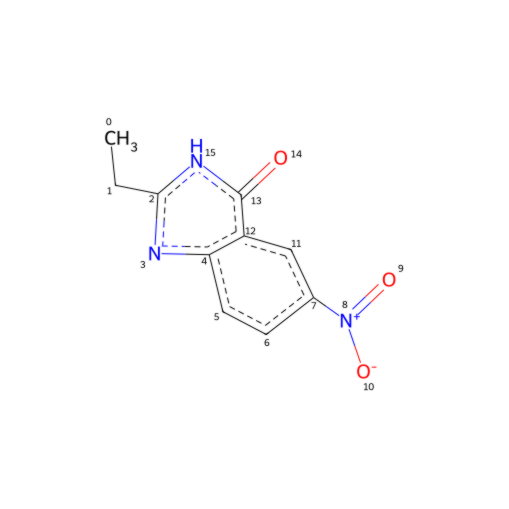 CCc1nc2ccc([N+](=O)[O-])cc2c(=O)[nH]1